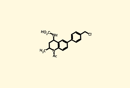 CC(=O)N1c2ccc(-c3ccc(CCl)cc3)cc2C(NC(=O)O)CC1C